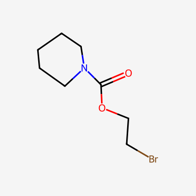 O=C(OCCBr)N1CCCCC1